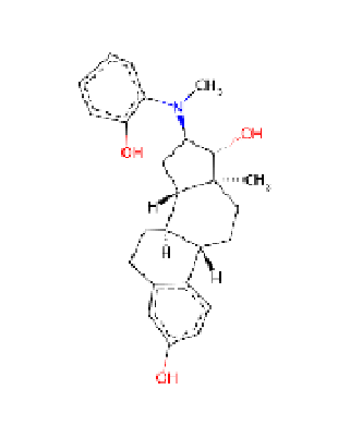 CN(c1ccccc1O)[C@@H]1C[C@H]2[C@@H]3CCc4cc(O)ccc4[C@H]3CC[C@]2(C)[C@H]1O